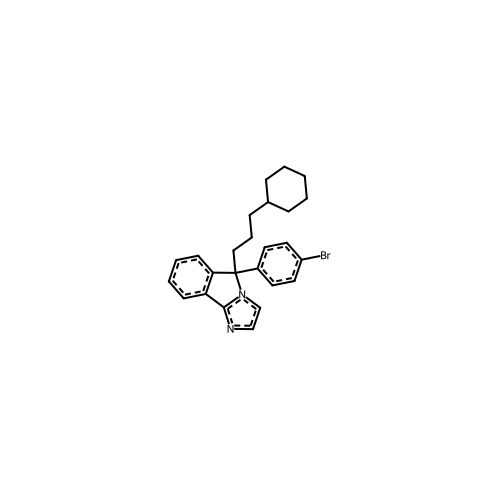 Brc1ccc(C2(CCCC3CCCCC3)c3ccccc3-c3nccn32)cc1